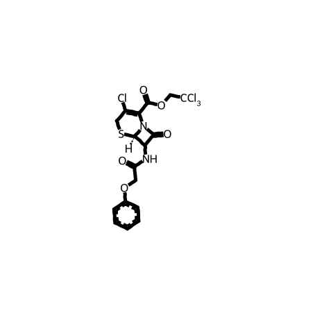 O=C(COc1ccccc1)NC1C(=O)N2C(C(=O)OCC(Cl)(Cl)Cl)=C(Cl)CS[C@H]12